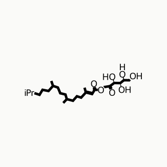 C/C(=C\C(=O)OCC(=O)[C@H](O)[C@@H](O)[C@H](O)CO)CCCC(C)CCCC(C)CCCC(C)C